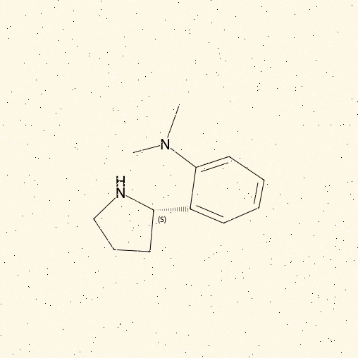 CN(C)c1ccccc1[C@@H]1CCCN1